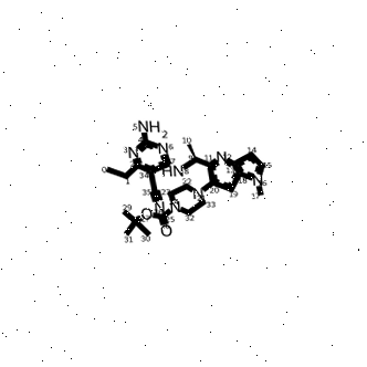 CCc1nc(N)nc(N[C@@H](C)c2nc3ccn(C)c3cc2N2CCN(C(=O)OC(C)(C)C)CC2)c1C#N